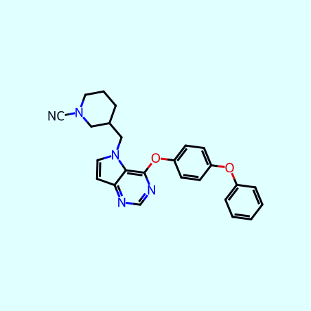 N#CN1CCCC(Cn2ccc3ncnc(Oc4ccc(Oc5ccccc5)cc4)c32)C1